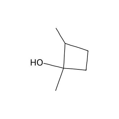 CC1CCC1(C)O